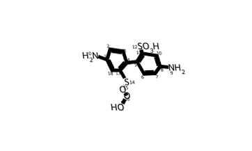 Nc1ccc(-c2ccc(N)cc2S(=O)(=O)O)c(SOOO)c1